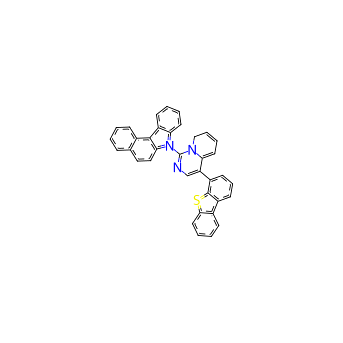 C1=CCN2C(=C1)C(c1cccc3c1sc1ccccc13)=CN=C2n1c2ccccc2c2c3ccccc3ccc21